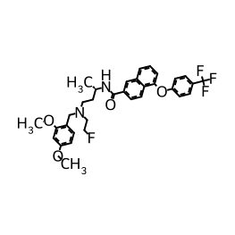 COc1ccc(CN(CCF)CC[C@@H](C)NC(=O)c2ccc3c(Oc4ccc(C(F)(F)F)cc4)cccc3c2)c(OC)c1